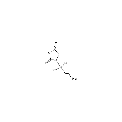 CCCCCCCCCCCC(CC)(CC)C1CC(=O)OC1=O